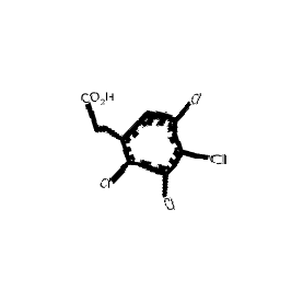 O=C(O)Cc1cc(Cl)c(Cl)c(Cl)c1Cl